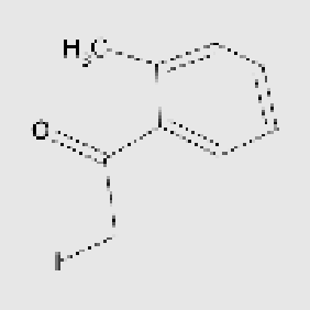 Cc1ccccc1C(=O)CI